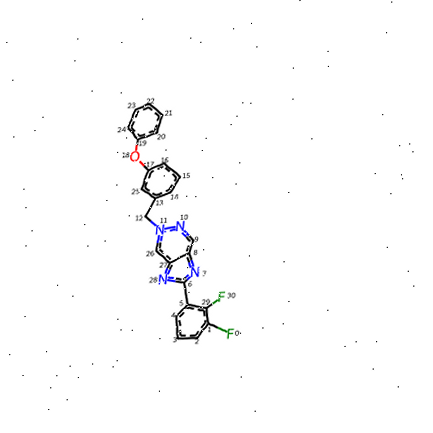 Fc1cccc(-c2nc3cnn(Cc4cccc(Oc5ccccc5)c4)cc-3n2)c1F